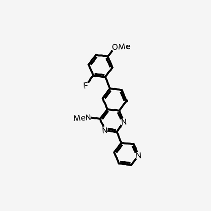 CNc1nc(-c2cccnc2)nc2ccc(-c3cc(OC)ccc3F)cc12